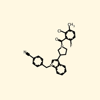 Cc1ccc(F)c(C(=O)N2CCC(c3cn(Cc4ccc(C#N)cc4)c4ccccc34)C2)c1Cl